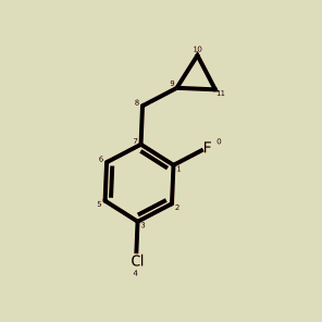 Fc1cc(Cl)ccc1CC1CC1